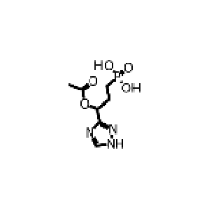 CC(=O)OC(CCP(=O)(O)O)c1nc[nH]n1